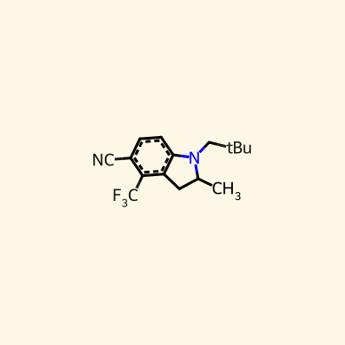 CC1Cc2c(ccc(C#N)c2C(F)(F)F)N1CC(C)(C)C